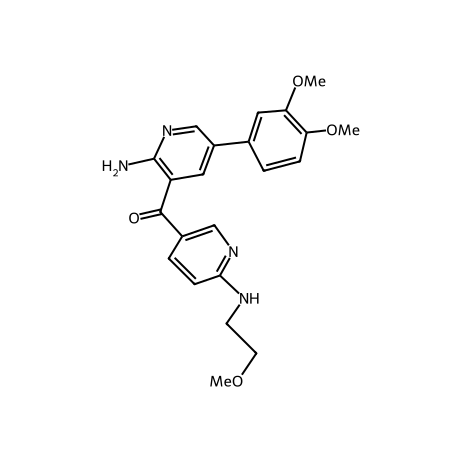 COCCNc1ccc(C(=O)c2cc(-c3ccc(OC)c(OC)c3)cnc2N)cn1